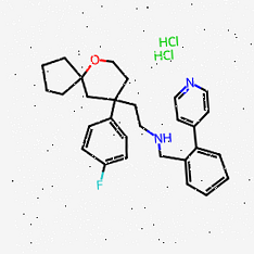 Cl.Cl.Fc1ccc(C2(CCNCc3ccccc3-c3ccncc3)CCOC3(CCCC3)C2)cc1